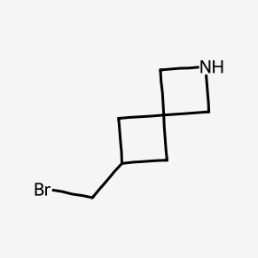 BrCC1CC2(CNC2)C1